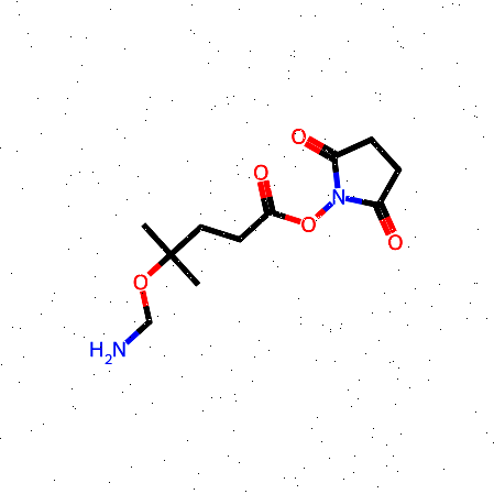 CC(C)(CCC(=O)ON1C(=O)CCC1=O)OCN